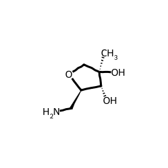 C[C@@]1(O)CO[C@H](CN)[C@H]1O